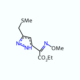 CCOC(=O)C(=NOC)c1cc(CSC)n[nH]1